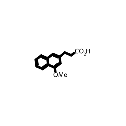 COc1cc(CCC(=O)O)cc2ccccc12